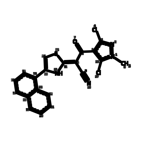 Cn1nc(Cl)c(C(=O)C(C#N)=C2NC(c3cccc4ccccc34)=CS2)c1Cl